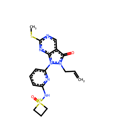 C=CCn1c(=O)c2cnc(SC)nc2n1-c1cccc(N[SH]2(=O)CCC2)n1